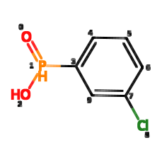 O=[PH](O)c1cccc(Cl)c1